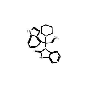 C=CC(c1cccc2[nH]ccc12)(N1CCCCC1)n1c(=O)[nH]c2ccccc21